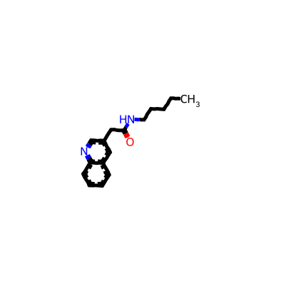 CCCCCNC(=O)Cc1cnc2ccccc2c1